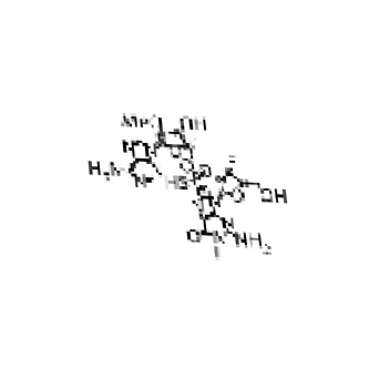 CO[C@H]1[C@H](n2cnc3c(N)ncnc32)O[C@](C)(COP(=O)(S)O[C@@H]2[C@H](F)[C@@H](CO)O[C@H]2n2cnc3c(=O)[nH]c(N)nc32)[C@H]1O